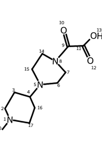 CN1CCC(N2CCN(C(=O)C(=O)O)CC2)CC1